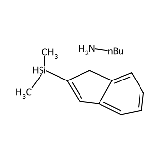 CCCCN.C[SiH](C)C1=Cc2ccccc2C1